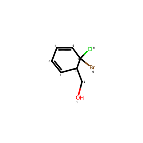 OCC1C=CC=CC1(Cl)Br